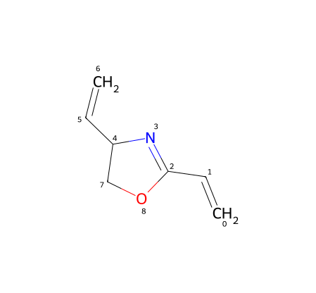 C=CC1=NC(C=C)CO1